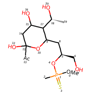 COP(C)(=S)O[C@H](CO)CC1OC(O)(C(C)=O)CC(O)C1[C@@H](C)O